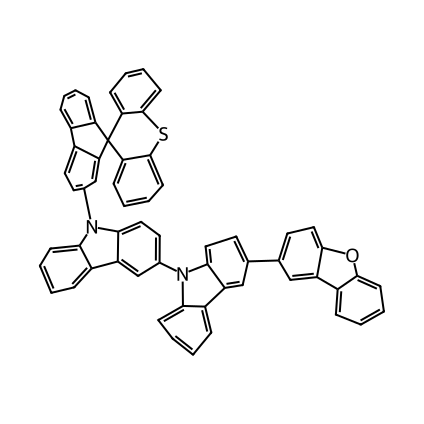 c1ccc2c(c1)Sc1ccccc1C21c2ccccc2-c2ccc(-n3c4ccccc4c4cc(-n5c6ccccc6c6cc(-c7ccc8oc9ccccc9c8c7)ccc65)ccc43)cc21